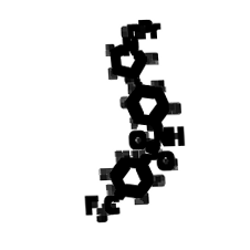 CCCN1CC[C@@H](c2ccc(NS(=O)(=O)c3ccc(C(F)(F)F)cc3)cc2)C1